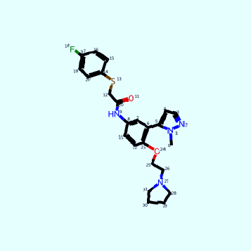 Cn1nccc1-c1cc(NC(=O)CSc2ccc(F)cc2)ccc1OCCN1CCCC1